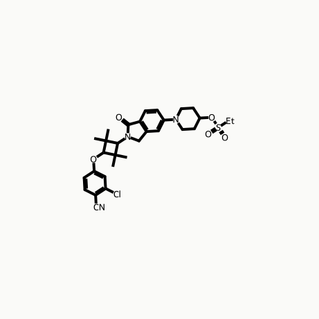 CCS(=O)(=O)OC1CCN(c2ccc3c(c2)CN(C2C(C)(C)C(Oc4ccc(C#N)c(Cl)c4)C2(C)C)C3=O)CC1